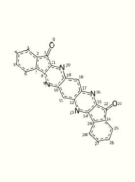 O=c1c2ccccc2c2nc3cc4nc5c(nc4cc3nc12)c(=O)c1ccccc15